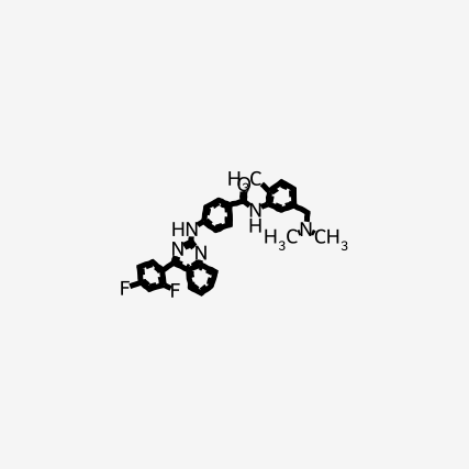 Cc1ccc(CN(C)C)cc1NC(=O)c1ccc(Nc2nc(-c3ccc(F)cc3F)c3ccccc3n2)cc1